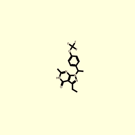 CCc1nn(C(C)c2ccc(OC(F)(F)F)cc2)c2nc(C)[nH]c(=O)c12